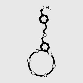 C=Cc1ccc(CCOCc2ccc3c(c2)OCCOCCOCCOCCOCCO3)cc1